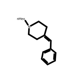 CCCCCCN1CCC(=Cc2ccccc2)CC1